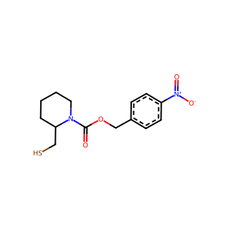 O=C(OCc1ccc([N+](=O)[O-])cc1)N1CCCCC1CS